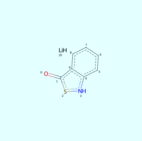 O=c1s[nH]c2ccccc12.[LiH]